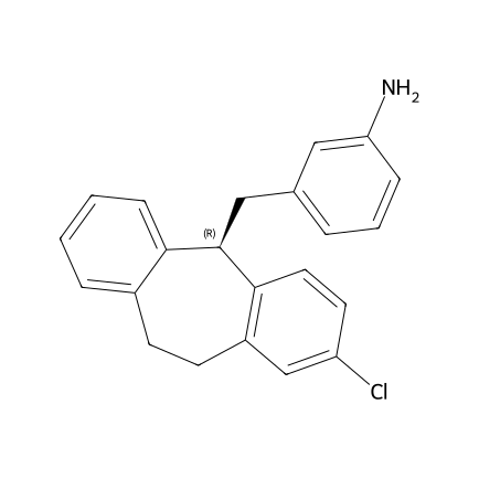 Nc1cccc(C[C@@H]2c3ccccc3CCc3cc(Cl)ccc32)c1